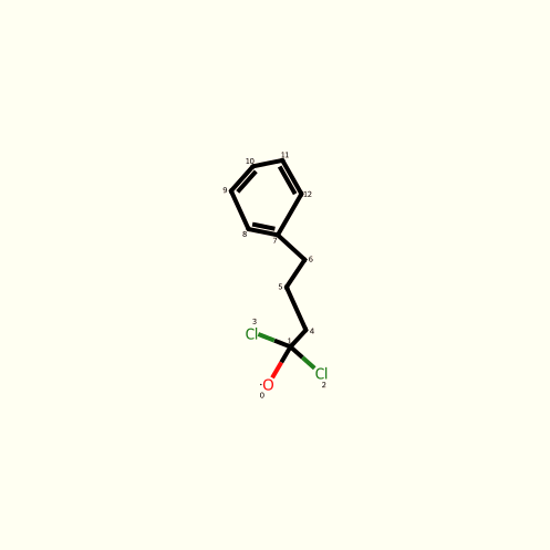 [O]C(Cl)(Cl)CCCc1ccccc1